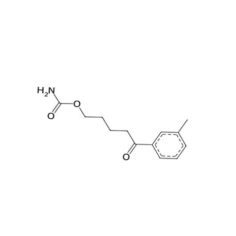 Cc1cccc(C(=O)CCCCOC(N)=O)c1